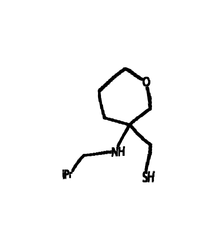 CC(C)CNC1(CS)CCCOC1